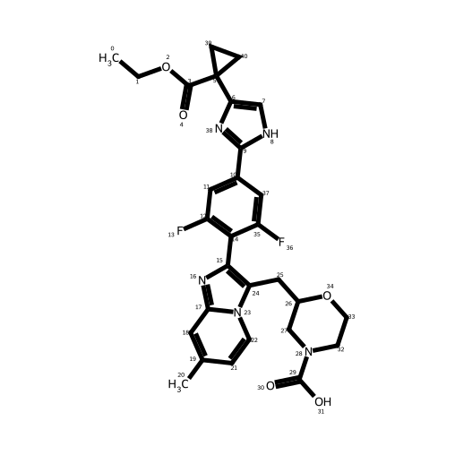 CCOC(=O)C1(c2c[nH]c(-c3cc(F)c(-c4nc5cc(C)ccn5c4CC4CN(C(=O)O)CCO4)c(F)c3)n2)CC1